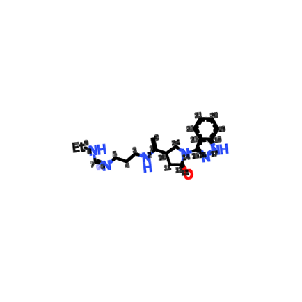 C=C(NCCC/N=C\NCC)C1CC(=O)N(c2n[nH]c3ccccc23)C1